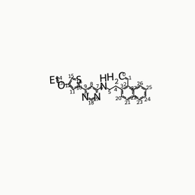 C=Cc1c(CCNc2cc(-c3cc(OCC)cs3)ncn2)ccc2ccccc12